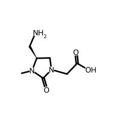 CN1C(=O)N(CC(=O)O)C[C@@H]1CN